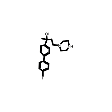 CC(O)(CCN1CCNCC1)c1ccc(-c2ccc(F)cc2)cc1